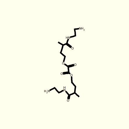 CC(CCOC(=O)C(=O)OCCC(C)C(=O)NCCN)C(=O)NCCN